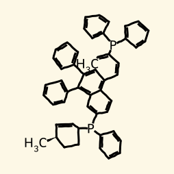 C/C=C(\C=C/c1cc(-c2ccccc2)c(-c2ccccc2)c2cc(P(c3ccccc3)C3C=C[C@H](C)CC3)ccc12)P(c1ccccc1)c1ccccc1